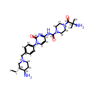 CC[C@@H]1CN(Cc2ccc(-n3ccc(NC(=O)N4CCN(C(=O)C(C)(C)N)CC4)nc3=O)cc2)CCC1N